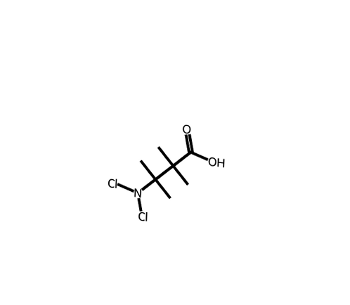 CC(C)(C(=O)O)C(C)(C)N(Cl)Cl